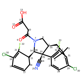 CC(C)(C)C[C@@H]1CN(C(=O)CC(=O)O)[C@H](C2CC=CC(Cl)=C2F)[C@@]1(C#N)c1ccc(Cl)cc1F